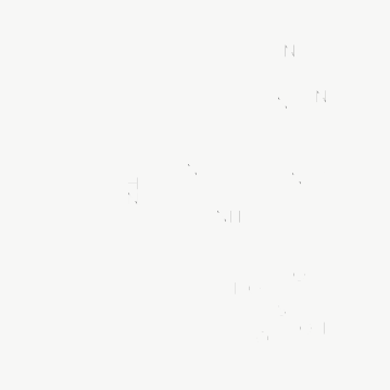 C=Cc1cccc(NCc2nc(-c3ccc4ncnn4c3)c(-c3cccc(C)n3)[nH]2)c1.O=S(=O)(O)O